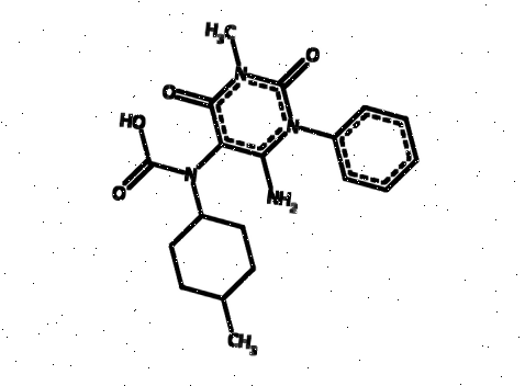 CC1CCC(N(C(=O)O)c2c(N)n(-c3ccccc3)c(=O)n(C)c2=O)CC1